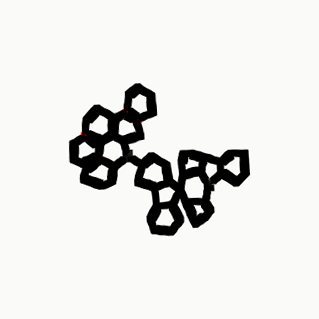 c1ccc(-c2cccc(-c3ccccc3N(c3ccc4c(c3)-c3ccccc3C43c4ccccc4-n4c5ccccc5c5cccc3c54)c3ccccc3-c3ccccc3)c2)cc1